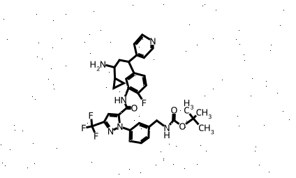 CC(C)(C)OC(=O)NCc1cccc(-n2nc(C(F)(F)F)cc2C(=O)Nc2cc(C(CC(N)C3CC3)c3ccncc3)ccc2F)c1